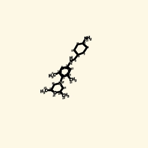 Cc1cc(NCC2CCC(N)CC2)cc(C)c1N1CC(C)OC(C)C1